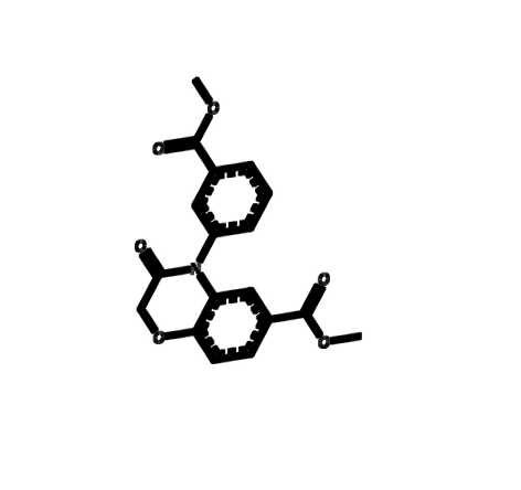 COC(=O)c1cccc(N2C(=O)COc3ccc(C(=O)OC)cc32)c1